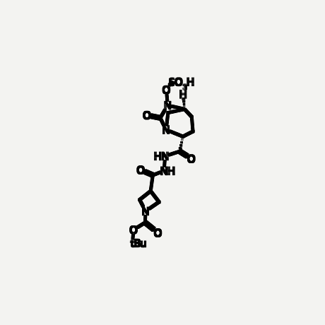 CC(C)(C)OC(=O)N1CC(C(=O)NNC(=O)[C@H]2CC[C@H]3CN2C(=O)N3OS(=O)(=O)O)C1